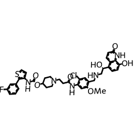 COc1cc(NC(=O)CCN2CCC(OC(=O)Nc3ccsc3-c3cccc(F)c3)CC2)c(Cl)cc1CNC[C@H](O)c1ccc(O)c2[nH]c(=O)ccc12